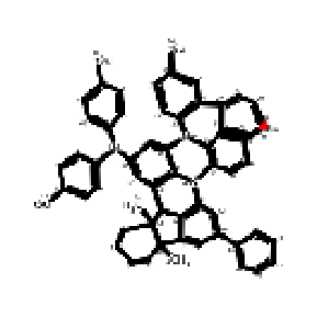 CC(C)(C)c1ccc(N(c2ccc(C(C)(C)C)cc2)c2cc3c4c(c2)N(c2ccc(C(C)(C)C)cc2-c2ccccc2)c2cc(C(C)(C)C)ccc2B4c2cc(-c4ccccc4)cc4c2C3C2(C)CCCCC42C)cc1